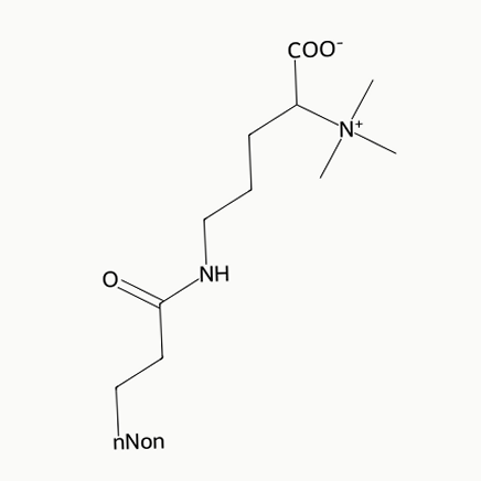 CCCCCCCCCCCC(=O)NCCCC(C(=O)[O-])[N+](C)(C)C